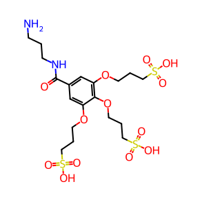 NCCCNC(=O)c1cc(OCCCS(=O)(=O)O)c(OCCCS(=O)(=O)O)c(OCCCS(=O)(=O)O)c1